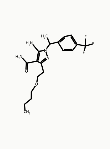 CCCCOCCc1nn(C(C)c2ccc(C(F)(F)F)cc2)c(N)c1C(N)=O